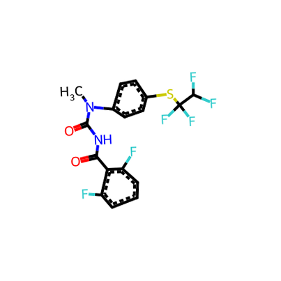 CN(C(=O)NC(=O)c1c(F)cccc1F)c1ccc(SC(F)(F)C(F)F)cc1